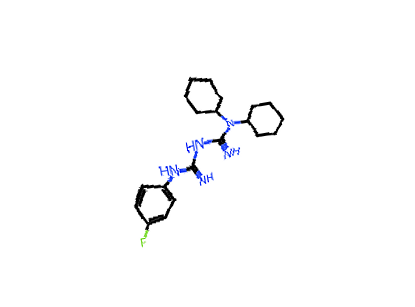 N=C(NC(=N)N(C1CCCCC1)C1CCCCC1)Nc1ccc(F)cc1